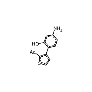 CC(=O)c1sccc1-c1ccc(N)cc1O